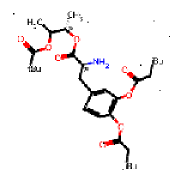 CCC(C)CC(=O)Oc1ccc(C[C@H](N)C(=O)O[C@@H](C)C(C)OC(=O)C(C)(C)C)cc1OC(=O)CC(C)CC